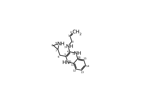 C=CCNC1=C(CC2CN2)Nc2ccccc2N1